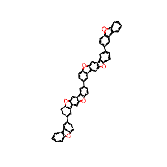 C1=C(c2ccc3oc4ccccc4c3c2)CCc2oc3cc4c(cc3c21)oc1ccc(-c2ccc3oc5cc6c(cc5c3c2)oc2ccc(-c3ccc5oc7ccccc7c5c3)cc26)cc14